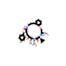 CC1COc2ccccc2CCCNC(=O)[C@@H](Cc2ccc(F)cc2)CC(=O)[C@@H](C)N(C)C(=O)[C@H](C2CC2)N1